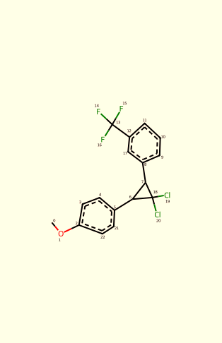 COc1ccc(C2C(c3cccc(C(F)(F)F)c3)C2(Cl)Cl)cc1